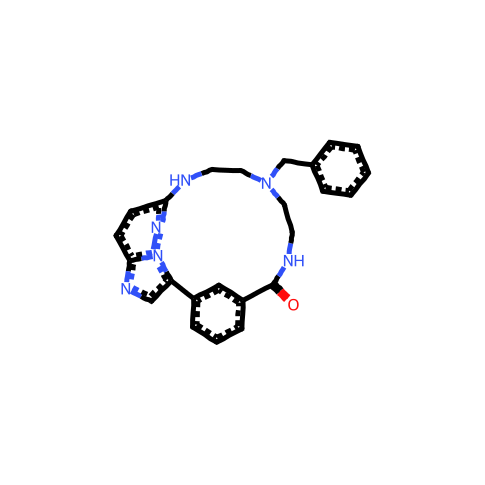 O=C1NCCN(Cc2ccccc2)CCNc2ccc3ncc(n3n2)-c2cccc1c2